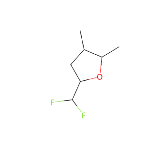 CC1CC(C(F)F)OC1C